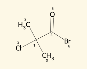 CC(C)(Cl)C(=O)Br